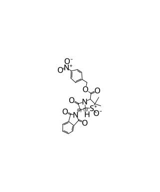 CC1(C)C(C(=O)OCc2ccc([N+](=O)[O-])cc2)N2C(=O)[C@@H](N3C(=O)c4ccccc4C3=O)[C@@H]2[S+]1[O-]